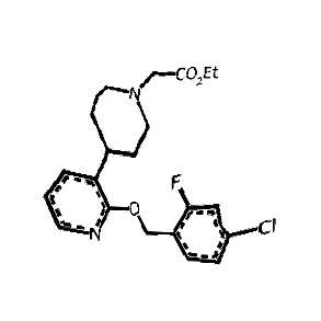 CCOC(=O)CN1CCC(c2cccnc2OCc2ccc(Cl)cc2F)CC1